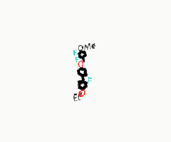 CCOc1ccc(-c2ccc(OCc3ccc(OC)c(F)c3F)cc2)c(F)c1